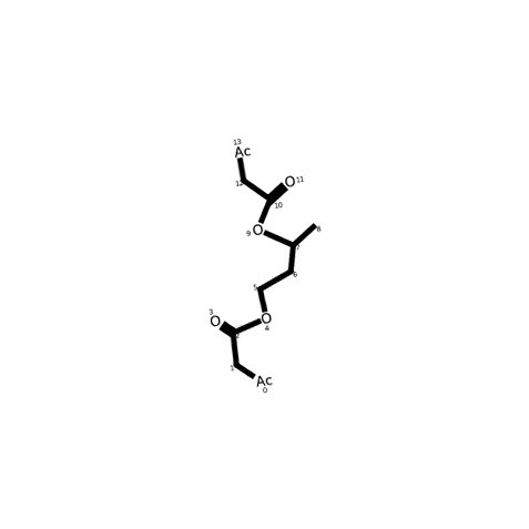 CC(=O)CC(=O)OCCC(C)OC(=O)CC(C)=O